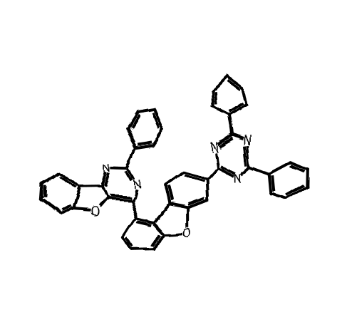 c1ccc(-c2nc(-c3ccccc3)nc(-c3ccc4c(c3)oc3cccc(-c5nc(-c6ccccc6)nc6c5oc5ccccc56)c34)n2)cc1